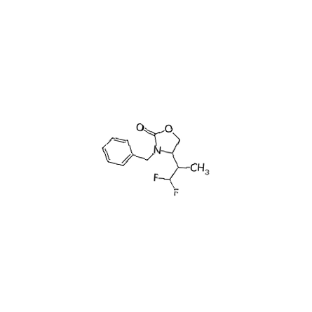 CC(C(F)F)C1COC(=O)N1Cc1ccccc1